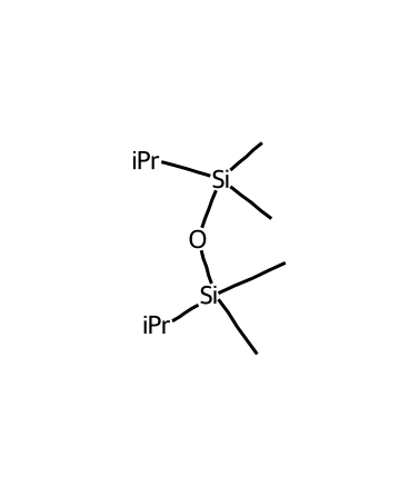 CC(C)[Si](C)(C)O[Si](C)(C)C(C)C